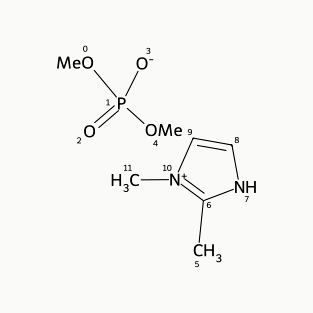 COP(=O)([O-])OC.Cc1[nH]cc[n+]1C